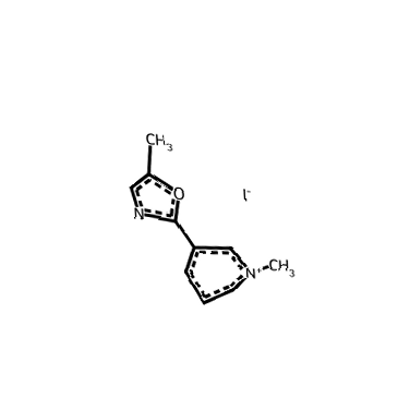 Cc1cnc(-c2ccc[n+](C)c2)o1.[I-]